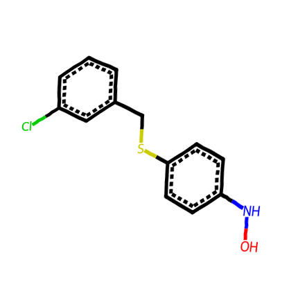 ONc1ccc(SCc2cccc(Cl)c2)cc1